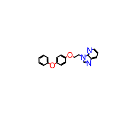 c1ccc(Oc2ccc(OCCn3cnc4cccnc43)cc2)cc1